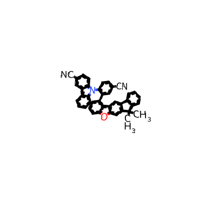 CC1(C)c2ccccc2-c2cc3c(cc21)oc1cccc(-c2cc(C#N)ccc2-n2c4ccccc4c4cc(C#N)ccc42)c13